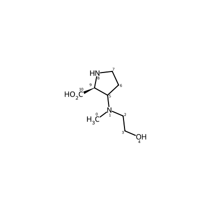 CN(CCO)C1CCN[C@@H]1C(=O)O